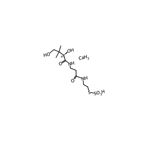 CC(C)(CO)[C@@H](O)C(=O)NCCC(=O)NCCSS(=O)(=O)O.[CaH2]